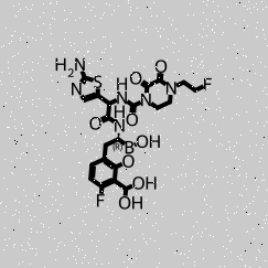 Nc1ncc(C(NC(=O)N2CCN(CCF)C(=O)C2=O)C(=O)N[C@H]2Cc3ccc(F)c(C(O)O)c3OB2O)s1